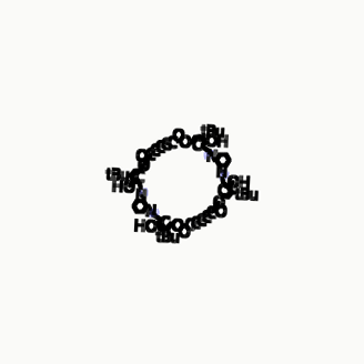 CC(C)(C)c1cc2cc(c1O)/C=N/C1CCCCC1/N=C/c1cc(cc(C(C)(C)C)c1O)OC(=O)CCCCCC(=O)Oc1cc(c(O)c(C(C)(C)C)c1)/C=N/C1CCCCC1/N=C/c1cc(cc(C(C)(C)C)c1O)OC(=O)CCCCCC(=O)O2